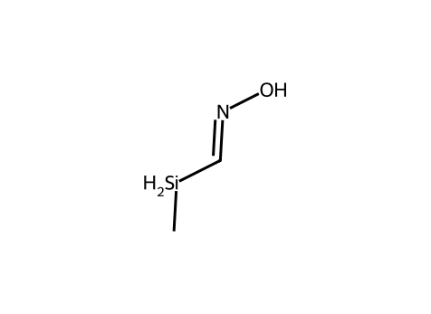 C[SiH2]C=NO